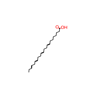 CCC=CCC=CCCC=CCCC=CCCCCCCC(=O)O